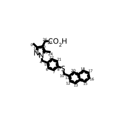 Cc1nn(Cc2ccc(SCc3ccc4ccccc4c3)cc2)c(C)c1CC(=O)O